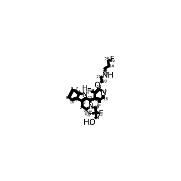 C[C@@H]1Cc2c([nH]c3ccccc23)C(c2c(F)cnc(OCCNCCCF)c2F)N1CC(F)(F)CO